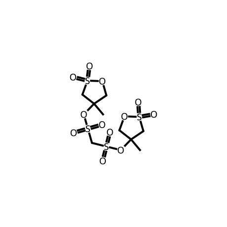 CC1(OS(=O)(=O)CS(=O)(=O)OC2(C)COS(=O)(=O)C2)COS(=O)(=O)C1